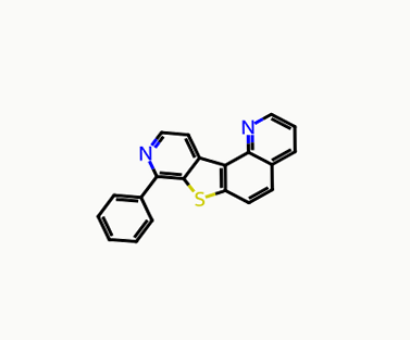 c1ccc(-c2nccc3c2sc2ccc4cccnc4c23)cc1